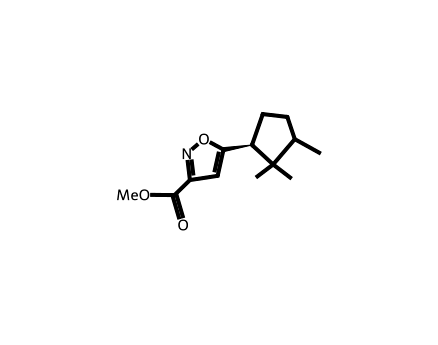 COC(=O)c1cc([C@H]2CCC(C)C2(C)C)on1